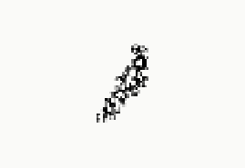 CCc1cnc(N2CCC(N(C(=O)c3cn(-c4ccc([S+](C)[O-])cc4F)cn3)C3CC3)CC2)nc1